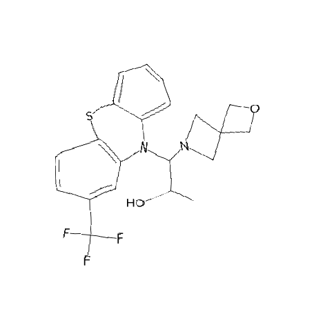 CC(O)C(N1CC2(COC2)C1)N1c2ccccc2Sc2ccc(C(F)(F)F)cc21